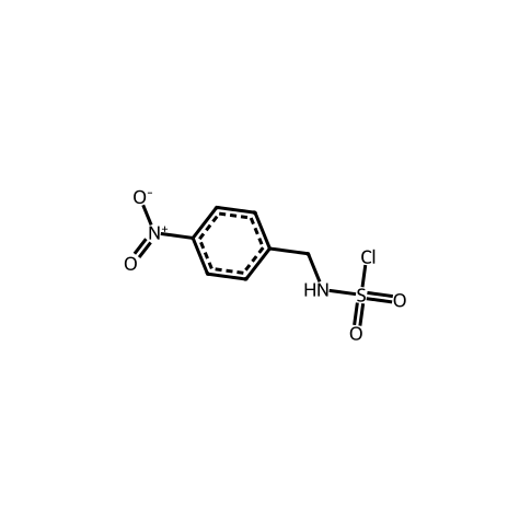 O=[N+]([O-])c1ccc(CNS(=O)(=O)Cl)cc1